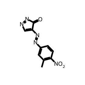 Cc1cc(N=NC2=CN=NC2=O)ccc1[N+](=O)[O-]